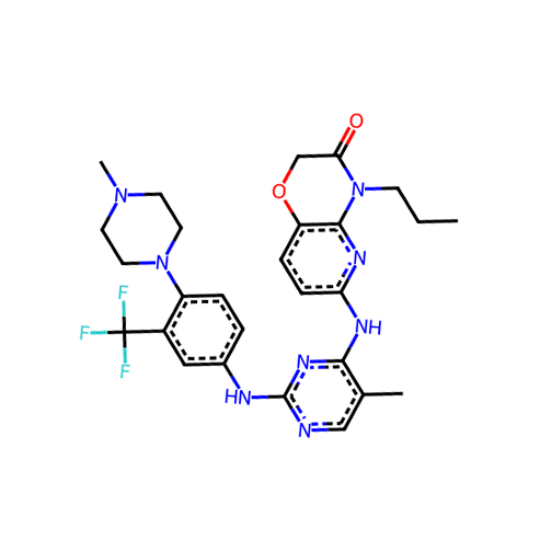 CCCN1C(=O)COc2ccc(Nc3nc(Nc4ccc(N5CCN(C)CC5)c(C(F)(F)F)c4)ncc3C)nc21